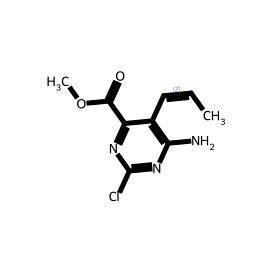 C/C=C\c1c(N)nc(Cl)nc1C(=O)OC